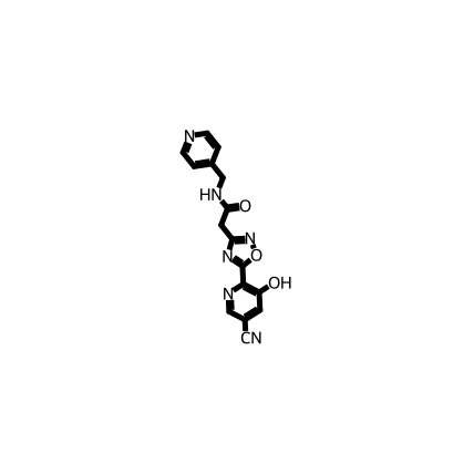 N#Cc1cnc(-c2nc(CC(=O)NCc3ccncc3)no2)c(O)c1